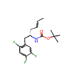 CC=CC[C@@H](Cc1cc(F)c(F)cc1F)NC(=O)OC(C)(C)C